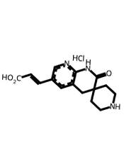 Cl.O=C(O)C=Cc1cnc2c(c1)CC1(CCNCC1)C(=O)N2